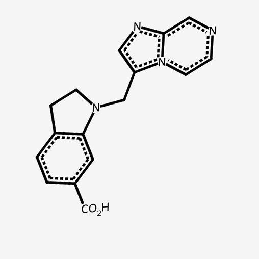 O=C(O)c1ccc2c(c1)N(Cc1cnc3cnccn13)CC2